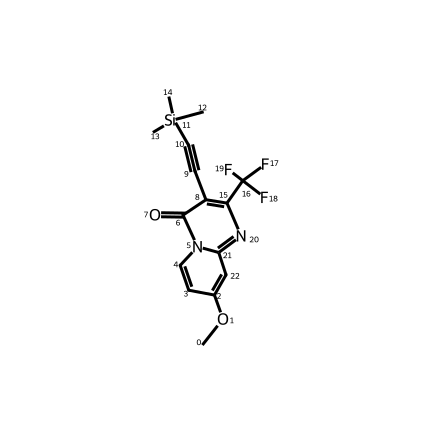 COc1ccn2c(=O)c(C#C[Si](C)(C)C)c(C(F)(F)F)nc2c1